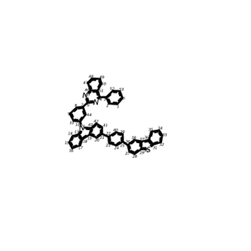 c1ccc(-c2nc(-c3cccc(-n4c5ccccc5c5cc(-c6ccc(-c7ccc8sc9ccccc9c8c7)cc6)ccc54)c3)nc3ccccc23)cc1